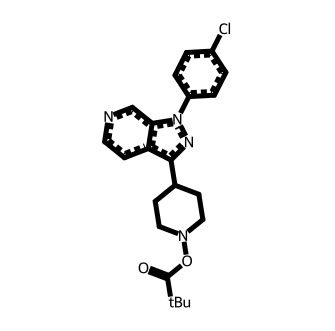 CC(C)(C)C(=O)ON1CCC(c2nn(-c3ccc(Cl)cc3)c3cnccc23)CC1